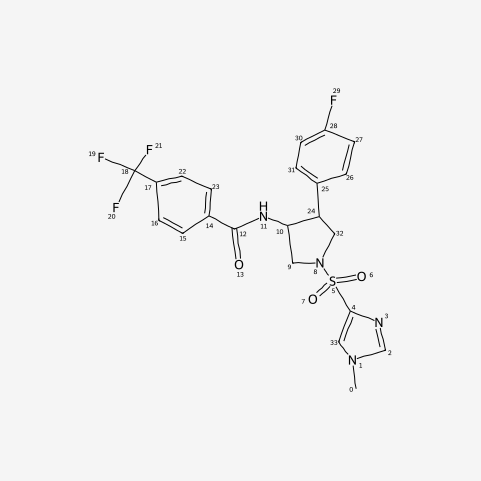 Cn1cnc(S(=O)(=O)N2CC(NC(=O)c3ccc(C(F)(F)F)cc3)C(c3ccc(F)cc3)C2)c1